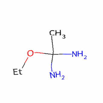 CCOC(C)(N)N